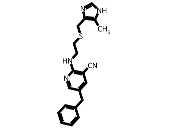 Cc1[nH]cnc1CSCCNc1ncc(Cc2ccccc2)cc1C#N